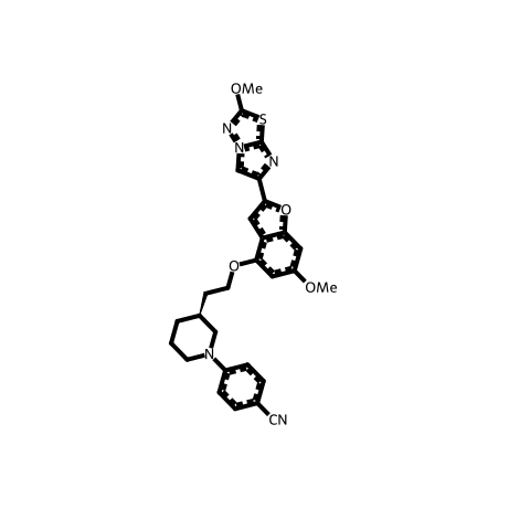 COc1cc(OCC[C@@H]2CCCN(c3ccc(C#N)cc3)C2)c2cc(-c3cn4nc(OC)sc4n3)oc2c1